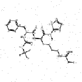 CN(C(=O)C(CCCCNC(=N)CF)NC(=O)[C@H](Cc1ccccc1)NC(=O)OC(C)(C)C)c1nnn[nH]1